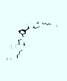 CCCCCCOC(C)OC(CCC)OC(=O)c1cccc(C(=O)OC(CCC)OC(C)OCCCCCC)c1